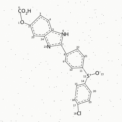 O=C(O)Oc1ccc2[nH]c(-c3ccc([S+]([O-])c4ccc(Cl)cc4)cc3)nc2c1